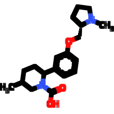 CC1CCC(c2cccc(OC[C@@H]3CCCN3C)c2)N(C(=O)O)C1